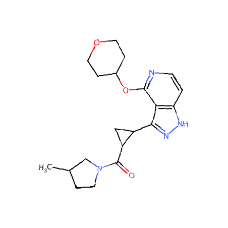 CC1CCN(C(=O)C2CC2c2n[nH]c3ccnc(OC4CCOCC4)c23)C1